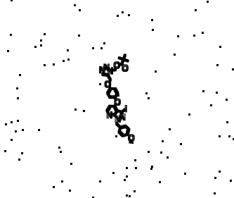 COc1ccc(Cn2nc(I)c3c(Oc4ccc(OCc5cnnn5COC(=O)C(C)(C)C)cc4)ccnc32)cc1